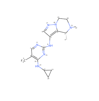 C[C@@H]1c2c(Nc3ncc(C(F)(F)F)c(NC4CC4)n3)cnn2CCN1C